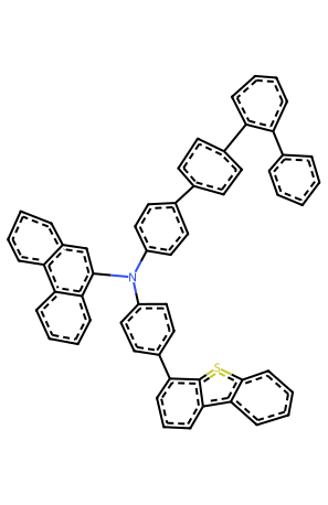 c1ccc(-c2ccccc2-c2ccc(-c3ccc(N(c4ccc(-c5cccc6c5sc5ccccc56)cc4)c4cc5ccccc5c5ccccc45)cc3)cc2)cc1